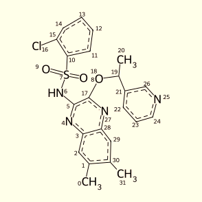 Cc1cc2nc(NS(=O)(=O)c3ccccc3Cl)c(OC(C)c3cccnc3)nc2cc1C